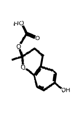 CC1(OC(=O)O)CCc2cc(O)ccc2O1